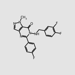 Cn1ncc2nc(-c3ccc(F)cc3)n(NCc3ccc(F)c(F)c3)c(=O)c21